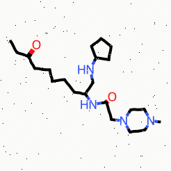 CCC(=O)CCCCCC(CNC1CCCC1)NC(=O)CN1CCN(C)CC1